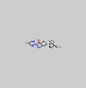 Cc1ccc(C2CCc3c(cnn(-c4ncc(Cl)cn4)c3=O)C2)c(C)c1